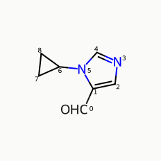 O=Cc1cncn1C1CC1